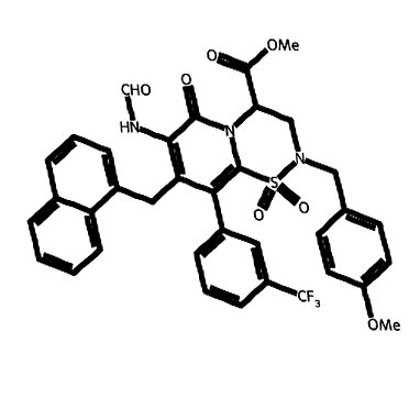 COC(=O)C1CN(Cc2ccc(OC)cc2)S(=O)(=O)c2c(-c3cccc(C(F)(F)F)c3)c(Cc3cccc4ccccc34)c(NC=O)c(=O)n21